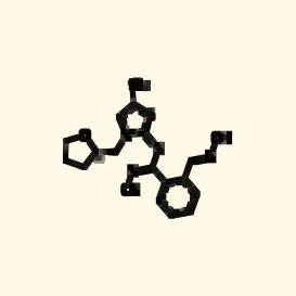 CC(C)(C)c1cn(C[C@H]2CCCO2)c(=NC(=NC#N)c2ccccc2C=NO)s1